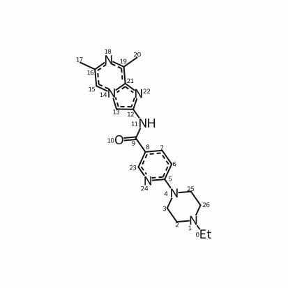 CCN1CCN(c2ccc(C(=O)Nc3cn4cc(C)nc(C)c4n3)cn2)CC1